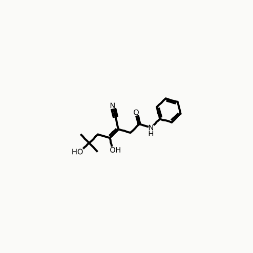 CC(C)(O)C/C(O)=C(\C#N)CC(=O)Nc1ccccc1